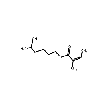 CC=C(C)C(=O)OCCCCC(C)O